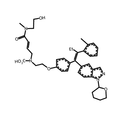 CCC(=C(c1ccc(OCCN(CC=CC(=O)N(C)CCO)C(=O)O)cc1)c1ccc2c(cnn2C2CCCCO2)c1)c1ccccc1C